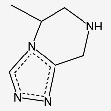 CC1CNCc2nncn21